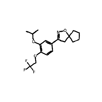 CC(C)Oc1cc(C2=NOC3(CCCC3)C2)ccc1OCC(F)(F)F